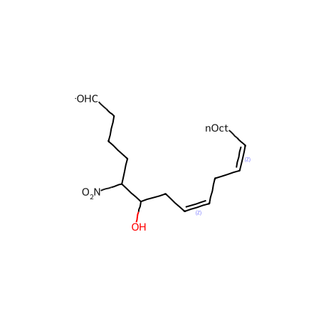 CCCCCCCC/C=C\C/C=C\CC(O)C(CCC[C]=O)[N+](=O)[O-]